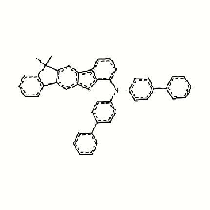 CC1(C)c2ccccc2-c2cc3sc4c(N(c5ccc(-c6ccccc6)cc5)c5ccc(-c6ccccc6)cc5)cccc4c3cc21